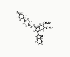 COc1cc2c(-c3cc4cccnc4[nH]3)cn(CCN3CCN(c4ccc(F)cc4)CC3)c2cc1OC